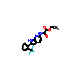 CCOC(=O)C(=O)Nc1ccc2cc(-c3ccccc3C(F)(F)F)[nH]c2n1